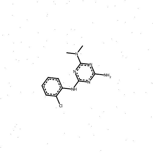 CN(C)c1nc(N)nc(Nc2ccccc2Cl)n1